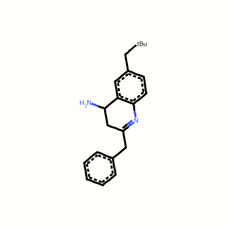 CC(C)(C)Cc1ccc2c(c1)C(N)CC(Cc1ccccc1)=N2